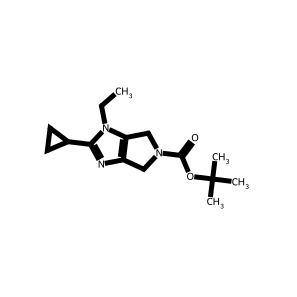 CCn1c(C2CC2)nc2c1CN(C(=O)OC(C)(C)C)C2